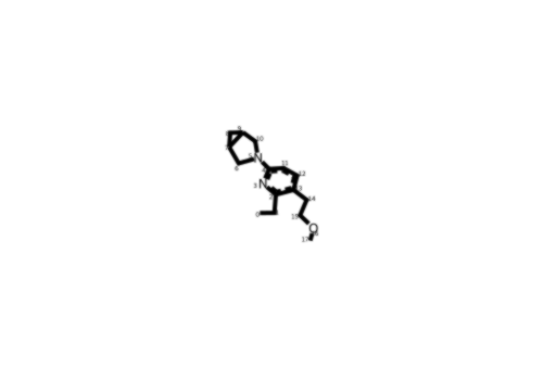 CCc1nc(N2CC3CC3C2)ccc1CCOC